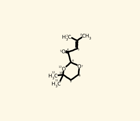 CC(C)=CC(=O)C1OCCC(C)(C)O1